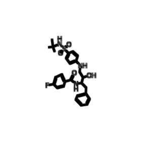 CC(C)(C)NS(=O)(=O)c1ccc(NCC(O)C(Cc2ccccc2)NC(=O)c2ccc(F)cc2)cc1